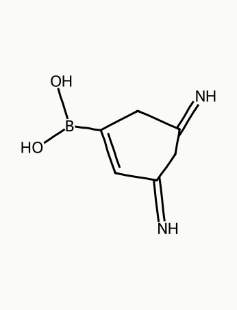 N=C1C=C(B(O)O)CC(=N)C1